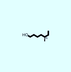 CC[C@@H](C)CCCCO